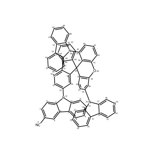 N#Cc1ccc2c(c1)c1ccccc1n2-c1cnc2c(c1)C1(c3ccc(-n4c5ccccc5c5ccncc54)cc3Oc3cccc(-n4c5ccccc5c5ccccc54)c31)c1cccnc1-2